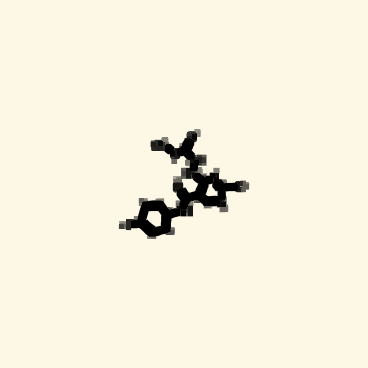 CC(C)(C)OC(=O)NNc1nc(Cl)ncc1C(=O)Nc1ccc(F)cc1